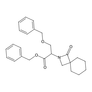 O=C(OCc1ccccc1)C(COCc1ccccc1)N1CC2(CCCCC2)C1=O